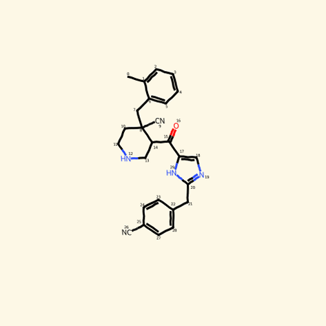 Cc1ccccc1CC1(C#N)CCNCC1C(=O)c1cnc(Cc2ccc(C#N)cc2)[nH]1